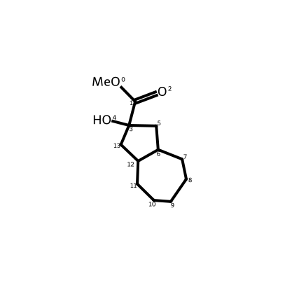 COC(=O)C1(O)CC2CCCCCC2C1